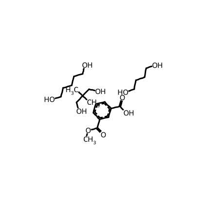 CC(C)(CO)CO.COC(=O)c1cccc(C(=O)O)c1.OCCCCCO.OCCCCO